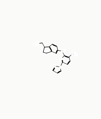 Nc1ccc(-n2cccn2)nc1Nc1ccc2c(c1)CCC2CO